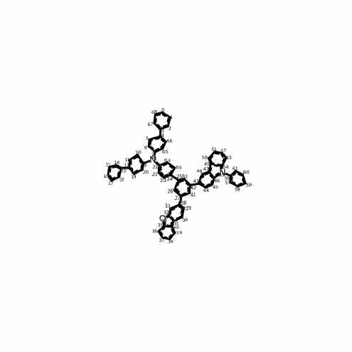 c1ccc(-c2ccc(N(c3ccc(-c4ccccc4)cc3)c3ccc(-c4cc(-c5ccc6c(c5)oc5ccccc56)cc(-c5ccc6c(c5)c5ccccc5n6-c5ccccc5)c4)cc3)cc2)cc1